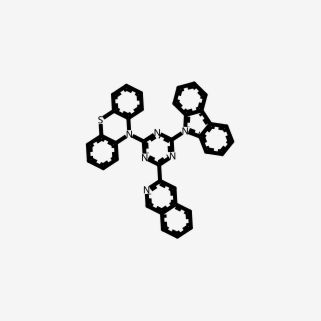 c1ccc2c(c1)Sc1ccccc1N2c1nc(-c2cc3ccccc3cn2)nc(-n2c3ccccc3c3ccccc32)n1